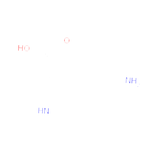 Nc1ccc2[nH]cc(C(=O)O)c2c1